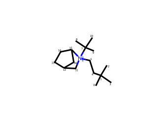 CC(C)(C)CC[N+]1(C(C)(C)C)CC2CCC1C2